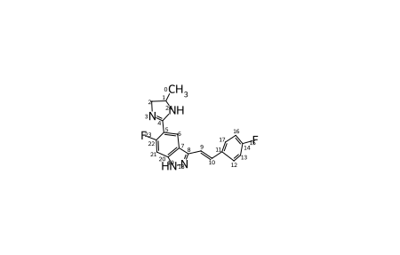 CC1CN=C(c2cc3c(C=Cc4ccc(F)cc4)n[nH]c3cc2F)N1